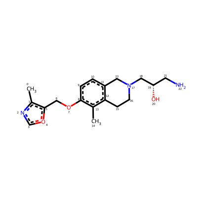 Cc1ncoc1COc1ccc2c(c1C)CCN(C[C@@H](O)CN)C2